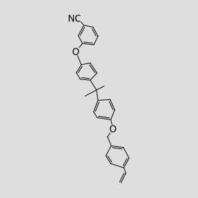 C=Cc1ccc(COc2ccc(C(C)(C)c3ccc(Oc4cccc(C#N)c4)cc3)cc2)cc1